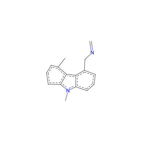 C=NCc1cccc2c1c1c(C)cccc1n2C